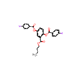 CCCCOC(=O)c1cc(OC(=O)c2ccc(I)cc2)ccc1OC(=O)c1ccc(I)cc1